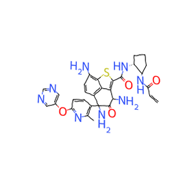 C=CC(=O)N[C@H]1CCC[C@H]1NC(=O)c1sc2c(N)ccc3c2c1C(N)C(=O)C3(N)c1ccc(Oc2cncnc2)nc1C